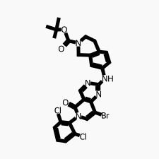 CC(C)(C)OC(=O)N1CCc2ccc(Nc3ncc4c(=O)n(-c5c(Cl)cccc5Cl)cc(Br)c4n3)cc2C1